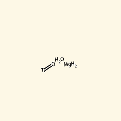 O.[MgH2].[O]=[Ti]